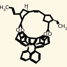 C=C[C@@H]1CC2/C=C\[C@@H]3CC(/C=C/C)C(C3)C3Oc4ccc(P(c5ccccc5)c5ccccc5)c(c4O3)-c3c(P(c4ccccc4)c4ccccc4)ccc4c3OC(O4)C1C2